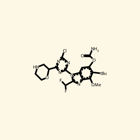 COc1c(C(C)(C)C)c(OC(N)=O)cc2c1nc(C(F)F)n2-c1nc(Cl)nc(C2CNCCO2)n1